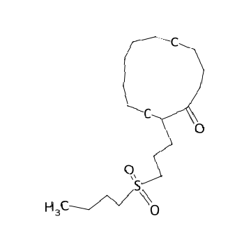 CCCCS(=O)(=O)CCCC1CCCCCCCCCCC1=O